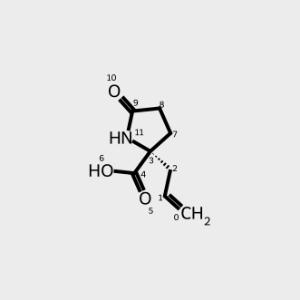 C=CC[C@@]1(C(=O)O)CCC(=O)N1